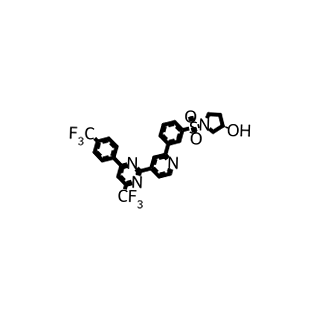 O=S(=O)(c1cccc(-c2cc(-c3nc(-c4ccc(C(F)(F)F)cc4)cc(C(F)(F)F)n3)ccn2)c1)N1CC[C@H](O)C1